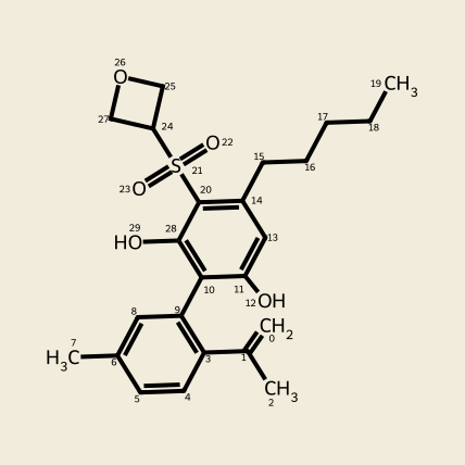 C=C(C)c1ccc(C)cc1-c1c(O)cc(CCCCC)c(S(=O)(=O)C2COC2)c1O